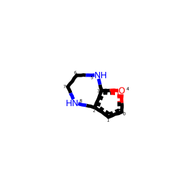 c1cc2c(o1)NCCN2